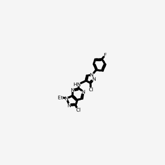 CCn1nc(Cl)c2cnc(Nc3cn(-c4ccc(F)cc4)nc3Cl)nc21